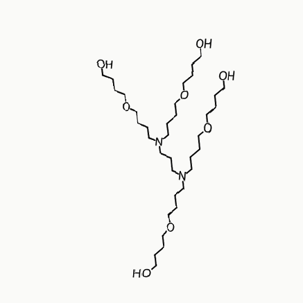 OCCCCOCCCCN(CCCCOCCCCO)CCCN(CCCCOCCCCO)CCCCOCCCCO